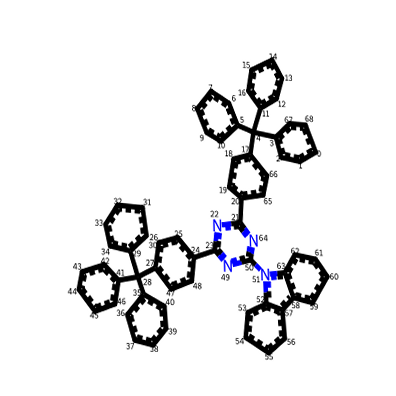 c1ccc(C(c2ccccc2)(c2ccccc2)c2ccc(-c3nc(-c4ccc(C(c5ccccc5)(c5ccccc5)c5ccccc5)cc4)nc(-n4c5ccccc5c5ccccc54)n3)cc2)cc1